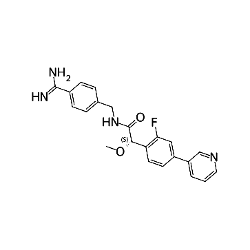 CO[C@H](C(=O)NCc1ccc(C(=N)N)cc1)c1ccc(-c2cccnc2)cc1F